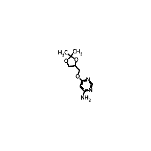 CC1(C)OCC(COc2cc(N)ncn2)O1